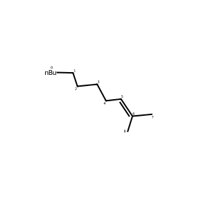 CCCCCCCCC=C(C)C